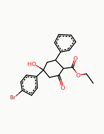 CCOC(=O)C1C(=O)CC(O)(c2ccc(Br)cc2)CC1c1ccccc1